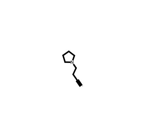 [C]#CCCN1CCCC1